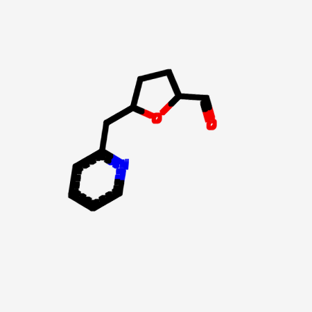 O=CC1CCC(Cc2ccccn2)O1